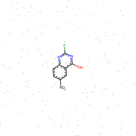 O=[N+]([O-])c1ccc2nc(F)nc(O)c2c1